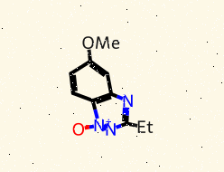 CCc1nc2cc(OC)ccc2[n+]([O-])n1